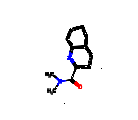 CN(C)C(=O)c1ccc2ccccc2n1